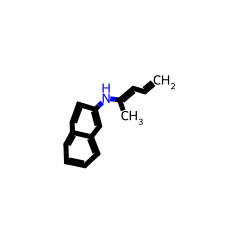 C=C/C=C(\C)Nc1ccc2ccccc2c1